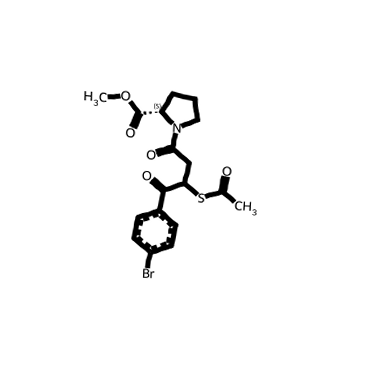 COC(=O)[C@@H]1CCCN1C(=O)CC(SC(C)=O)C(=O)c1ccc(Br)cc1